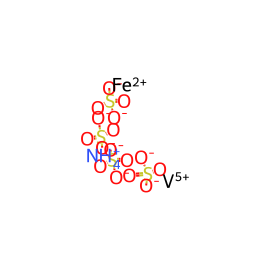 O=S(=O)([O-])[O-].O=S(=O)([O-])[O-].O=S(=O)([O-])[O-].O=S(=O)([O-])[O-].[Fe+2].[NH4+].[V+5]